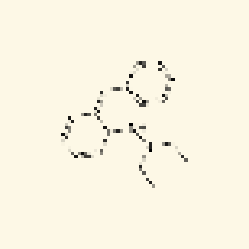 CCN(CC)NC1C=CC=CC1=Cc1ccccc1